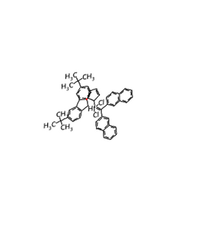 CC(C)(C)c1ccc2c(c1)-c1cc(C(C)(C)C)ccc1[CH]2[Hf]([Cl])([Cl])(=[C](c1ccc2ccccc2c1)c1ccc2ccccc2c1)[CH]1C=CC=C1